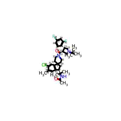 CC(=O)NC(C)(C)[C@@H]1CC2(CCN(C(=O)[C@@H]3CN(C(C)(C)C)C[C@H]3c3ccc(F)cc3F)CC2)c2cc(Cl)c(C)cc21